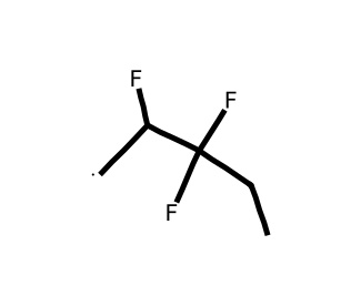 [CH2]C(F)C(F)(F)CC